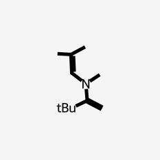 C=C(N(C)C=C(C)C)C(C)(C)C